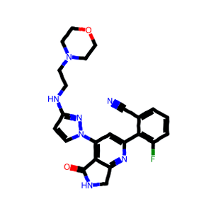 N#Cc1cccc(F)c1-c1cc(-n2ccc(NCCN3CCOCC3)n2)c2c(n1)CNC2=O